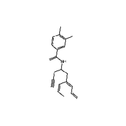 C#CCC(CC(/C=C\C)=C/C=C)NC(=C)c1ccc(C)c(C)c1